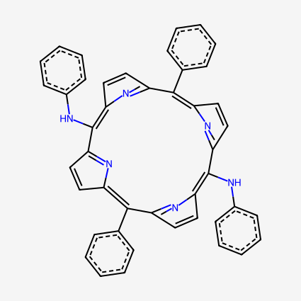 C1=CC2=C(c3ccccc3)C3=NC(=C(Nc4ccccc4)C4=NC(=C(c5ccccc5)C5=NC(=C(Nc6ccccc6)C1=N2)C=C5)C=C4)C=C3